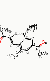 COC(=O)c1cc(S(=O)(=O)O)c2cc(C(=O)OC)cc(S(=O)(=O)O)c2c1.[NaH]